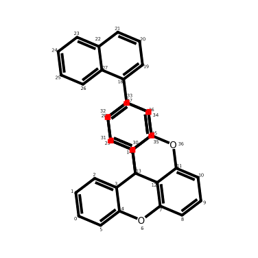 c1ccc2c(c1)Oc1cccc3c1C2(c1ccc(-c2cccc4ccccc24)cc1)c1ccccc1O3